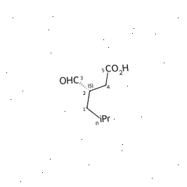 CC(C)C[C@H](C=O)CC(=O)O